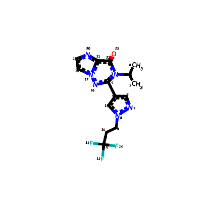 CC(C)n1c(-c2cnn(CCC(F)(F)F)c2)nn2ccnc2c1=O